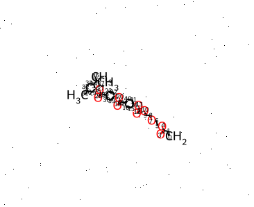 C=CC(=O)OCCOCCOC(=O)Oc1ccc(C(=O)Oc2ccc(C(=O)OC3CC(C)CCC3C(C)C)cc2)cc1